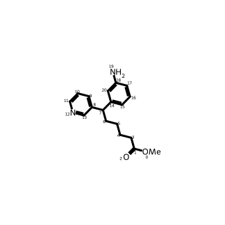 COC(=O)CCCCC(c1cccnc1)c1cccc(N)c1